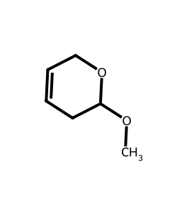 COC1CC=CCO1